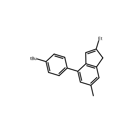 CCC1=Cc2c(cc(C)cc2-c2ccc(C(C)(C)C)cc2)C1